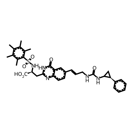 Cc1c(C)c(C)c(S(=O)(=O)N[C@@H](Cc2nc3ccc(C=CCNC(=O)NC4C[C@H]4c4ccccc4)cc3c(=O)[nH]2)C(=O)O)c(C)c1C